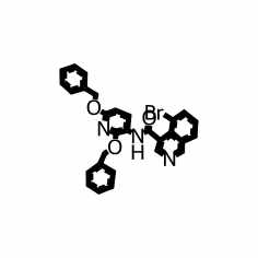 O=C(Nc1ccc(OCc2ccccc2)nc1OCc1ccccc1)c1cncc2cccc(Br)c12